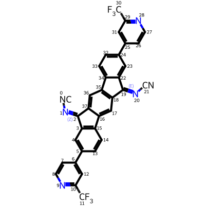 [C-]#[N+]/N=c1/c2cc(-c3ccnc(C(F)(F)F)c3)ccc2c2cc3/c(=N/C#N)c4cc(-c5ccnc(C(F)(F)F)c5)ccc4c3cc12